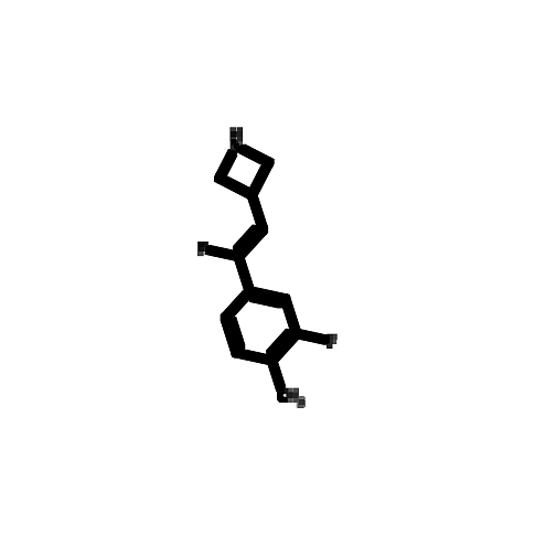 Cc1ccc(C(F)=CC2CNC2)cc1F